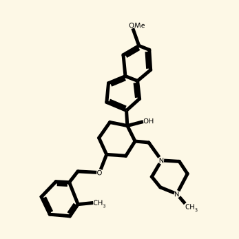 COc1ccc2cc(C3(O)CCC(OCc4ccccc4C)CC3CN3CCN(C)CC3)ccc2c1